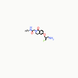 CCCNC(=O)CN1CCc2cc(OC/C(=C\F)CN)ccc2C1=O